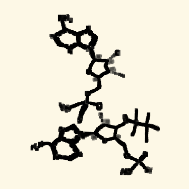 C[C@H]1[C@@H](Cl)[C@H](n2cnc3c(N)ncnc32)O[C@@H]1COP(=O)(S)O[C@@H]1C(O[Si](C)(C)C(C)(C)C)[C@@H](COP(=O)(O)S)O[C@H]1n1cnc2c(N)ncnc21